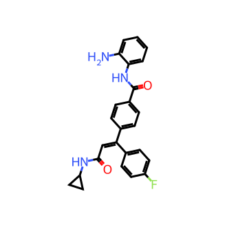 Nc1ccccc1NC(=O)c1ccc(C(=CC(=O)NC2CC2)c2ccc(F)cc2)cc1